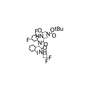 CC(C)(C)OC(=O)N1CC(=O)N[C@H](C(=O)N(c2cc(F)cc(F)c2)[C@H](C(=O)NC2CC(F)(F)C2)c2ccccc2I)C1